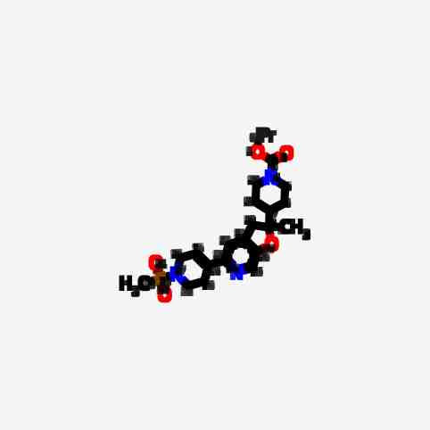 CC(C)OC(=O)N1CCC(C2(C)Cc3cc(C4=CCN(S(C)(=O)=O)CC4)ncc3O2)CC1